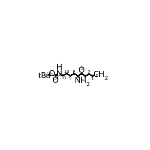 C=CCCC(=O)C(N)CCCCNC(=O)OC(C)(C)C